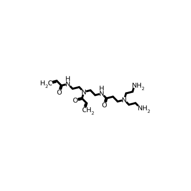 C=CC(=O)NCCN(CCNC(=O)CCN(CCN)CCN)C(=O)C=C